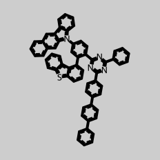 c1ccc(-c2ccc(-c3ccc(-c4nc(-c5ccccc5)nc(-c5ccc(-n6c7ccccc7c7cc8ccccc8cc76)cc5-c5cccc6sc7ccccc7c56)n4)cc3)cc2)cc1